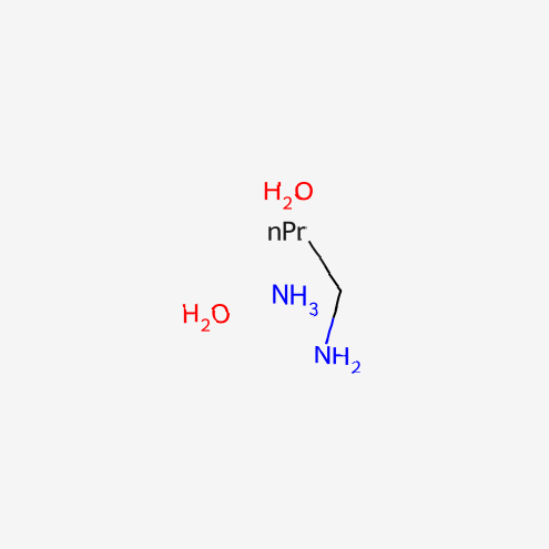 CCCCN.N.O.O